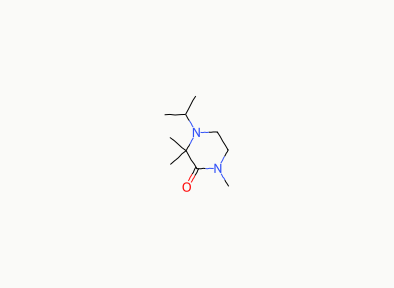 CC(C)N1CCN(C)C(=O)C1(C)C